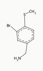 CSc1ccc(CN)cc1Br